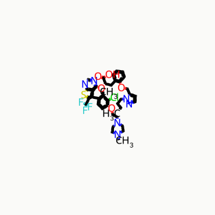 CCCCn1nccc1COc1ccccc1CC(Oc1ncnc2sc(C(F)(F)F)c(-c3ccc(OCCN4CCN(C)CC4)c(Cl)c3C)c12)C(=O)O